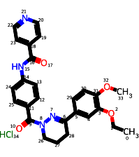 CCOc1cc(C2=NN(C(=O)c3ccc(NC(=O)c4ccncc4)cc3)CCC2)ccc1OC.Cl